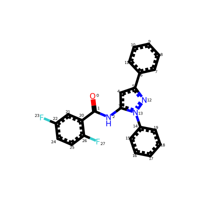 O=C(Nc1cc(-c2ccccc2)nn1-c1ccccc1)c1cc(F)ccc1F